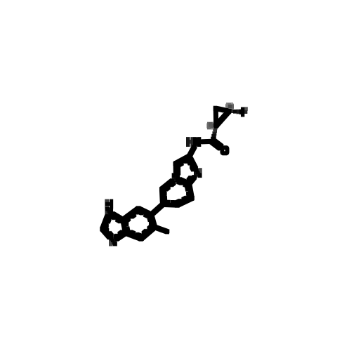 Cc1cc2nc[nH]c2cc1-c1ccc2nc(NC(=O)[C@@H]3C[C@@H]3F)cn2c1